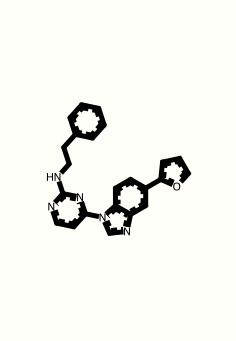 c1ccc(CCNc2nccc(-n3cnc4cc(-c5ccco5)ccc43)n2)cc1